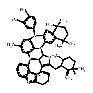 C=C1C(CC2=C(C)C3C(O2)B2c4cc5c(cc4N(c4ccc(C(C)(C)C)c(C(C)(C)C)c4)c4cc(C)cc(c42)N3c2cccc3oc4c(c23)C=CCC4)C(C)(C)CCC5(C)C)[C@@H](C)CCC1(C)I